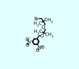 CC(C)(CBr)COCC(C)(C)OCc1cc([N+](=O)[O-])cc([N+](=O)[O-])c1